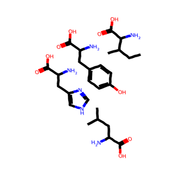 CC(C)CC(N)C(=O)O.CCC(C)C(N)C(=O)O.NC(Cc1c[nH]cn1)C(=O)O.NC(Cc1ccc(O)cc1)C(=O)O